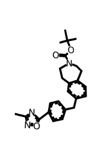 Cc1noc(-c2ccc(Cc3ccc4c(c3)CCN(C(=O)OC(C)(C)C)CC4)cc2)n1